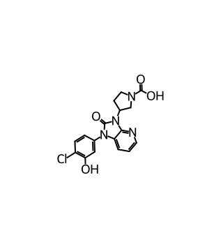 O=C(O)N1CCC(n2c(=O)n(-c3ccc(Cl)c(O)c3)c3cccnc32)C1